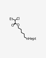 CCCCCCCCCCCCOC(=O)C(Cl)CC